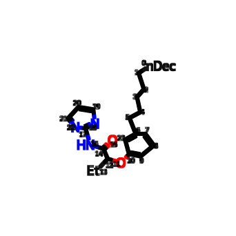 CCCCCCCCCCCCCCCc1cccc(OC(CC)C(=O)Nc2ncccn2)c1